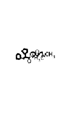 CN(C)Cc1cc2c(o1)CCN(C(=O)C(=Cc1ccccc1)c1ccccc1)C2